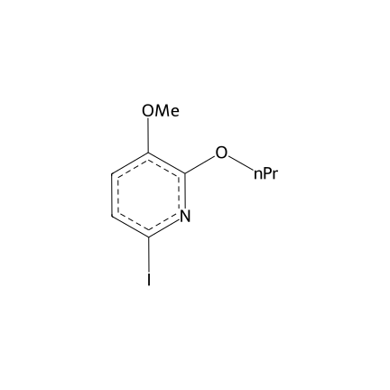 CCCOc1nc(I)ccc1OC